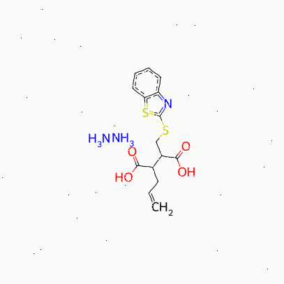 C=CCC(C(=O)O)C(CSc1nc2ccccc2s1)C(=O)O.N.N